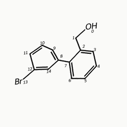 OCc1ccccc1-c1cccc(Br)c1